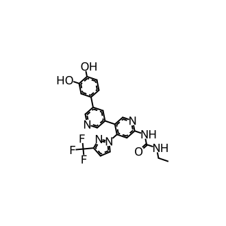 CCNC(=O)Nc1cc(-n2ccc(C(F)(F)F)n2)c(-c2cncc(-c3ccc(O)c(O)c3)c2)cn1